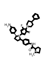 CN1CCCC1C(=O)Nc1ccc(C2CC[C@@H](c3ccc(N)cc3)N2c2cc(F)c(N3CCC(c4ccccc4)CC3)c(F)c2)cc1